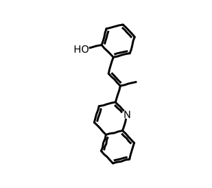 CC(=Cc1ccccc1O)c1ccc2ccccc2n1